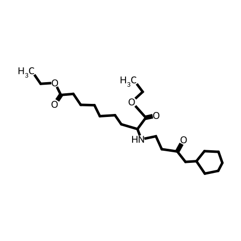 CCOC(=O)CCCCCCC(NCCC(=O)CC1CCCCC1)C(=O)OCC